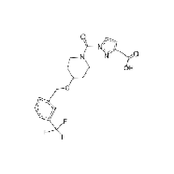 O=C(O)c1ccn(C(=O)N2CCC(OCc3cccc(C(F)(F)F)c3)CC2)n1